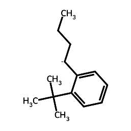 CCC[CH]c1ccccc1C(C)(C)C